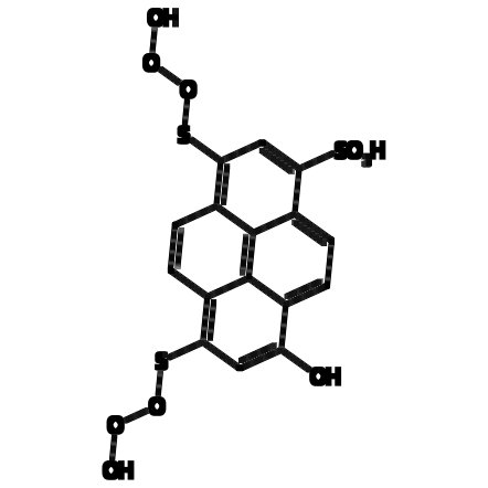 O=S(=O)(O)c1cc(SOOO)c2ccc3c(SOOO)cc(O)c4ccc1c2c43